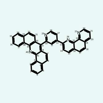 c1ccc2c(c1)ccc1c(-c3cc(-c4ccc5ccc6cccnc6c5n4)ccn3)c3ccc4ccccc4c3nc12